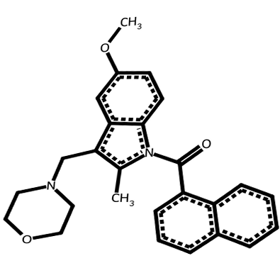 COc1ccc2c(c1)c(CN1CCOCC1)c(C)n2C(=O)c1cccc2ccccc12